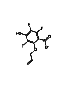 C=CCOc1c(F)c(O)c(F)c(F)c1[N+](=O)[O-]